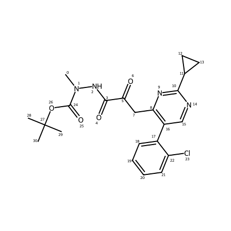 CN(NC(=O)C(=O)Cc1nc(C2CC2)ncc1-c1ccccc1Cl)C(=O)OC(C)(C)C